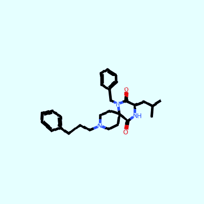 CC(C)CC1NC(=O)C2(CCN(CCCc3ccccc3)CC2)N(Cc2ccccc2)C1=O